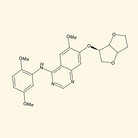 COc1ccc(OC)c(Nc2ncnc3cc(O[C@@H]4COC5CCOC54)c(OC)cc23)c1